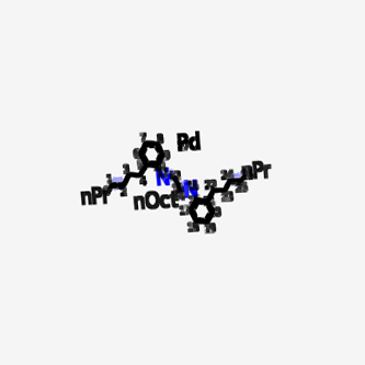 CCC/C=C/CCc1ccccc1/N=C/C(CCCCCCCC)=N/c1ccccc1CC/C=C/CCC.[Pd]